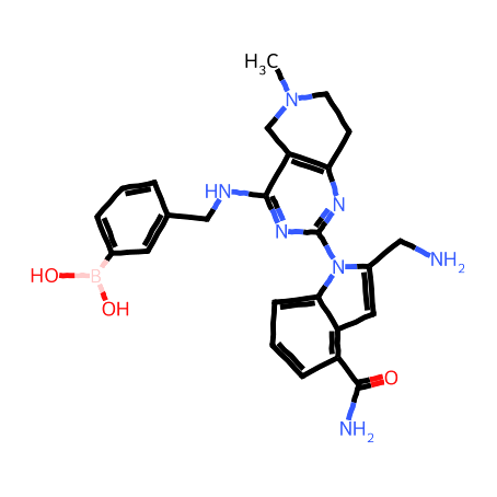 CN1CCc2nc(-n3c(CN)cc4c(C(N)=O)cccc43)nc(NCc3cccc(B(O)O)c3)c2C1